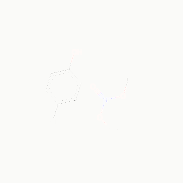 CCCO[N+](=O)OCCC.O=Cc1ccc(O)cc1